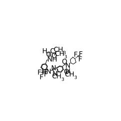 COc1cc2c(cc1C(=O)N[C@H]1CC[C@H](C(F)(F)F)CC1)nc(Nc1cc(CNC(=O)OC(C)(C)C)ccc1C(F)(F)F)n2C